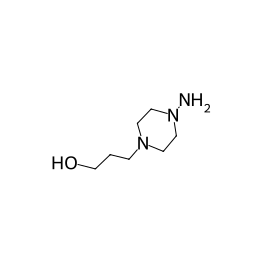 NN1CCN(CCCO)CC1